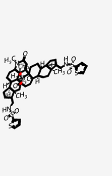 CN1C(=O)C=C(C23CC[C@@H]4[C@@H](CC[C@]5(C)C(CNS(=O)(=O)c6cccs6)CC[C@@H]45)[C@@]2(C)CCC(=O)N3C)[C@@]2(C)C1CC[C@@H]1[C@H]2CC[C@]2(C)C(CNS(=O)(=O)c3cccs3)CC[C@@H]12